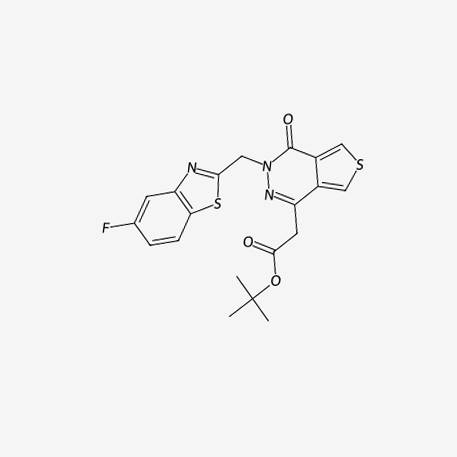 CC(C)(C)OC(=O)Cc1nn(Cc2nc3cc(F)ccc3s2)c(=O)c2cscc12